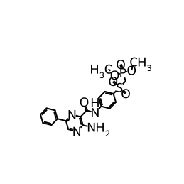 COP(=O)(CS(=O)(=O)c1ccc(NC(=O)c2nc(-c3ccccc3)cnc2N)cc1)OC